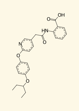 CCC(CC)Oc1ccc(Oc2ccc(CC(=O)Nc3ccccc3C(=O)O)cn2)cc1